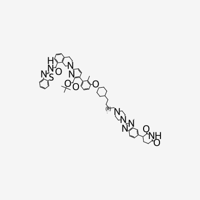 Cc1c(OC2CCC(CC[C@@H](C)CN3CCN(c4nc5ccc(C6CCC(=O)NC6=O)cc5n4C)CC3)CC2)cccc1-c1ccc(N2CCc3cccc(C(=O)Nc4nc5ccccc5s4)c3C2)nc1C(=O)OC(C)(C)C